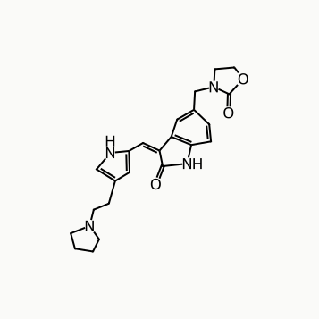 O=C1Nc2ccc(CN3CCOC3=O)cc2C1=Cc1cc(CCN2CCCC2)c[nH]1